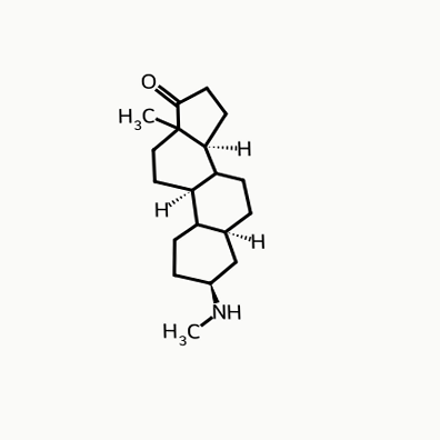 CN[C@H]1CCC2[C@@H](CCC3[C@@H]2CCC2(C)C(=O)CC[C@@H]32)C1